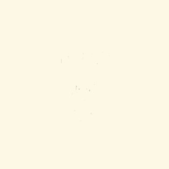 O=C1c2ccccc2C(=O)N1Cc1cc2c(cc1O)OCO2